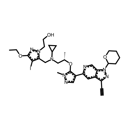 C#Cc1nn(C2CCCCO2)c2cnc(-c3cnn(C)c3O[C@@H](C)CN(Cc3c(I)c(OCC)nn3CCO)C3CC3)cc12